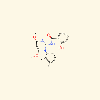 COC1=CC(OC)=NC(NC(=O)c2ccccc2O)N1c1cccc(C)c1C